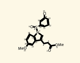 COC(=O)CCc1cn([S+]([O-])c2cccc(Cl)c2)c2ccc(OC)cc12